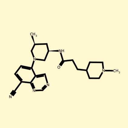 C[C@H]1C[C@@H](NC(=O)CCC2CCN(C)CC2)CN(c2ccc(C#N)c3ncncc23)C1